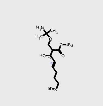 CCCCCCCCCCCCC/C=C/[C@@H](O)C(COC(C)(C)N)C(=O)OC(C)(C)C